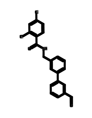 O=Cc1cccc(-c2cccc(CNC(=O)c3ccc(Cl)cc3Cl)c2)c1